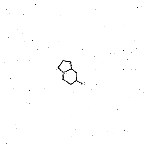 CCC1CCN2CCCC2C1